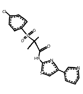 CC(C)(C(=O)Nc1nc(-c2cccnc2)cs1)S(=O)(=O)c1ccc(Cl)cc1